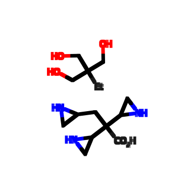 CCC(CO)(CO)CO.O=C(O)C(CC1CN1)(C1CN1)C1CN1